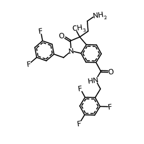 CC1(CCN)C(=O)N(Cc2cc(F)cc(F)c2)c2cc(C(=O)NCc3c(F)cc(F)cc3F)ccc21